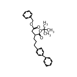 CC(C)(C)OC(=O)C(CCCc1ccc(-c2ccccc2)cc1)CC(=O)OCc1ccccc1